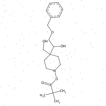 CC(C)(C)C(=O)ON1CCC(CO)(C(O)COCc2ccccc2)CC1